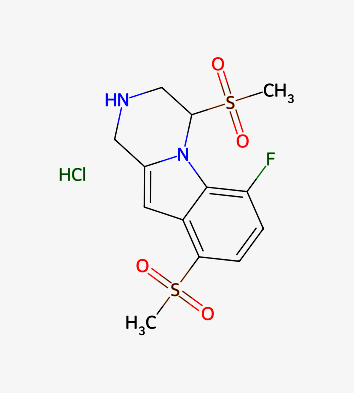 CS(=O)(=O)c1ccc(F)c2c1cc1n2C(S(C)(=O)=O)CNC1.Cl